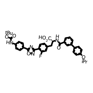 CC(C)Oc1ccc(-c2cccc(C(=O)N[C@H](Cc3ccc(-c4noc(-c5ccc(NC(=O)OC(C)(C)C)cc5)n4)c(F)c3)C(=O)O)c2)cc1